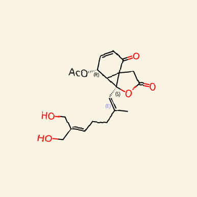 CC(=O)O[C@@H]1C=CC(=O)C23CC(=O)O[C@@]2(/C=C(\C)CCC=C(CO)CO)C13